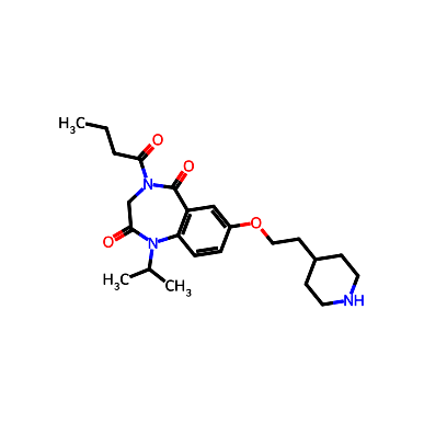 CCCC(=O)N1CC(=O)N(C(C)C)c2ccc(OCCC3CCNCC3)cc2C1=O